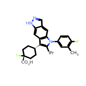 Cc1cc(-n2c(C(C)C)c([C@H]3CC[C@](F)(C(=O)O)CC3)c3cc4[nH]ncc4cc32)ccc1F